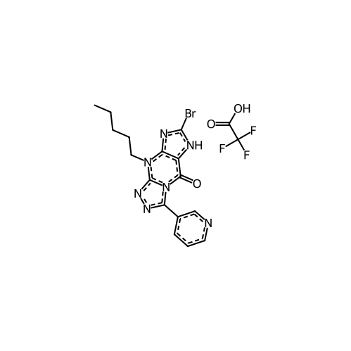 CCCCCn1c2nc(Br)[nH]c2c(=O)n2c(-c3cccnc3)nnc12.O=C(O)C(F)(F)F